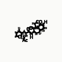 CC(=O)SC[C@@H](Cc1ccccc1C)C(=O)NC1CCc2ccccc2N(CC(=O)O)C1=O